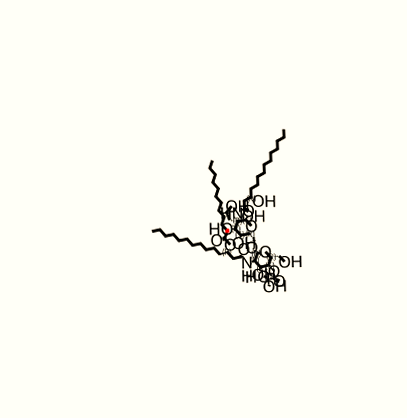 CCCCCCCCCCCC(=O)O[C@H](CCCCCCCCCCC)CC(=O)N[C@H]1[C@H](OC[C@H]2O[C@H](O)[C@](CCO)(NC(=O)C[C@H](O)CCCCCCCCCCC)[C@@H](O)[C@@H]2O)O[C@H](CO)[C@@H](OP(=O)(O)O)[C@@H]1O